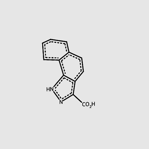 O=C(O)c1n[nH]c2c1ccc1ccccc12